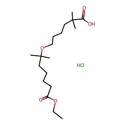 CCOC(=O)CCCCC(C)(C)OCCCCC(C)(C)C(=O)O.Cl